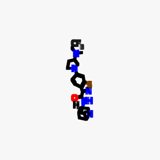 CN(CC(F)(F)F)C1CCN(c2ccc3c(C(=O)N[C@H]4CN5CCC4CC5)nsc3c2)C1